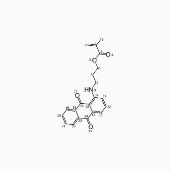 C=C(C)C(=O)OCCCNc1cccc2c1C(=O)c1ccccc1C2=O